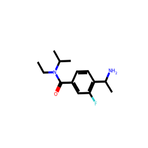 CCN(C(=O)c1ccc(C(C)N)c(F)c1)C(C)C